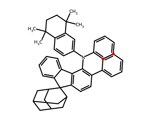 CC1(C)CCC(C)(C)c2cc(N(c3ccccc3)c3c(-c4ccccc4)ccc4c3-c3ccccc3C43C4CC5CC(C4)CC3C5)ccc21